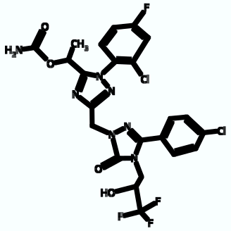 CC(OC(N)=O)c1nc(Cn2nc(-c3ccc(Cl)cc3)n(CC(O)C(F)(F)F)c2=O)nn1-c1ccc(F)cc1Cl